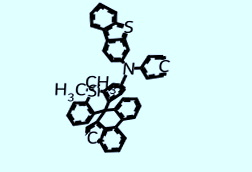 C[Si]1(C)c2ccccc2C2(c3ccccc3-c3cccc4cccc2c34)c2ccc(N(c3ccccc3)c3ccc4c(c3)sc3ccccc34)cc21